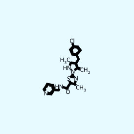 C=C1C(Cc2ccc(Cl)cc2)C(C)NN1C1=NC(C)C(C(=O)NCc2cccnc2)S1